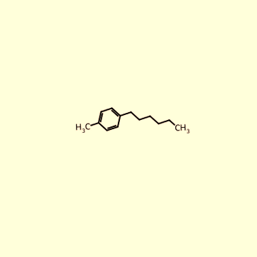 CCCCCCc1ccc(C)cc1